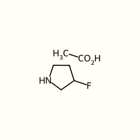 CC(=O)O.FC1CCNC1